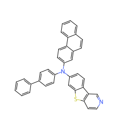 c1ccc(-c2ccc(N(c3ccc4c(ccc5ccccc54)c3)c3ccc4c(c3)sc3ccncc34)cc2)cc1